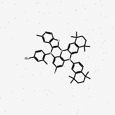 Cc1ccc2oc3c(c2c1)N(c1ccc(C(C)(C)C)cc1C)c1cc(F)cc2c1B3c1cc3c(cc1N2c1ccc2c(c1)C(C)(C)CCC2(C)C)C(C)(C)CCC3(C)C